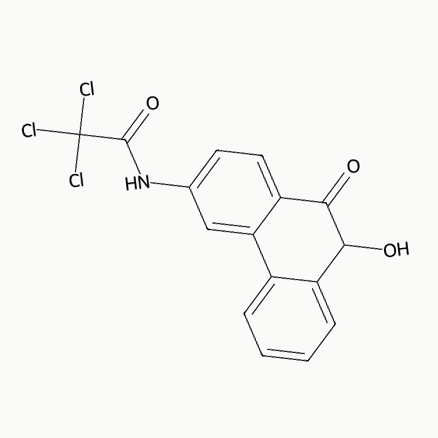 O=C1c2ccc(NC(=O)C(Cl)(Cl)Cl)cc2-c2ccccc2C1O